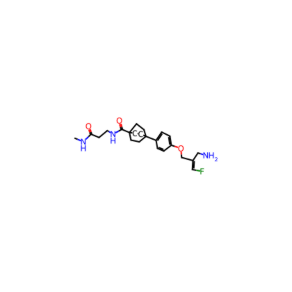 CNC(=O)CCNC(=O)C12CCC(c3ccc(OC/C(=C/F)CN)cc3)(CC1)CC2